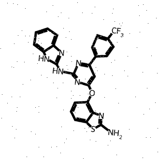 Nc1nc2c(Oc3cc(-c4ccc(C(F)(F)F)cc4)nc(Nc4nc5ccccc5[nH]4)n3)cccc2s1